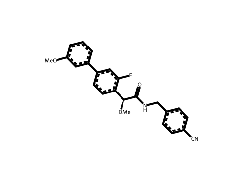 COc1cccc(-c2ccc([C@H](OC)C(=O)NCc3ccc(C#N)cc3)c(F)c2)c1